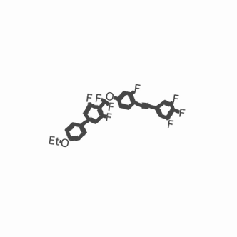 CCOc1ccc(-c2cc(F)c(C(F)(F)Oc3ccc(C#Cc4cc(F)c(F)c(F)c4)c(F)c3)c(F)c2)cc1